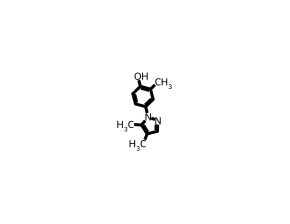 Cc1cc(-n2ncc(C)c2C)ccc1O